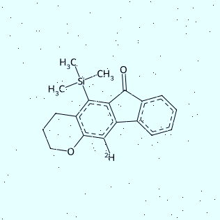 [2H]c1c2c(c([Si](C)(C)C)c3c1-c1ccccc1C3=O)CCCO2